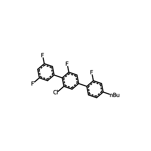 CCCCc1ccc(-c2cc(F)c(-c3cc(F)cc(F)c3)c(Cl)c2)c(F)c1